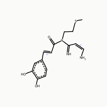 CSCCN(C(=N)/C=C\N)C(=O)/C=C/c1ccc(O)c(O)c1